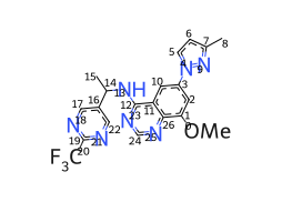 COc1cc(-n2ccc(C)n2)cc2c(NC(C)c3cnc(C(F)(F)F)nc3)ncnc12